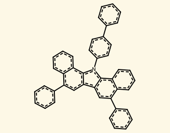 c1ccc(-c2ccc(-n3c4c5ccccc5c(-c5ccccc5)cc4c4cc(-c5ccccc5)c5ccccc5c43)cc2)cc1